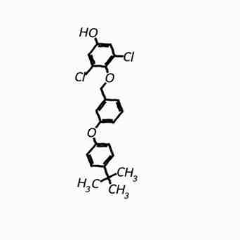 CC(C)(C)c1ccc(Oc2cccc(COc3c(Cl)cc(O)cc3Cl)c2)cc1